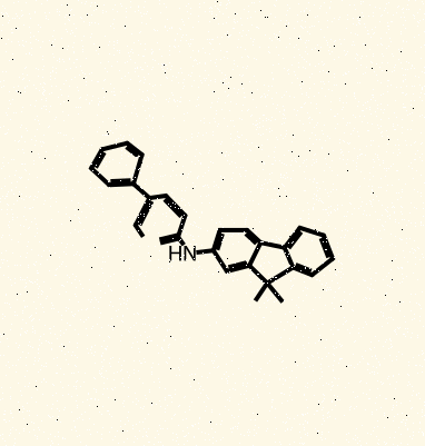 C=C(/C=C\C(=C/C)c1ccccc1)Nc1ccc2c(c1)C(C)(C)c1ccccc1-2